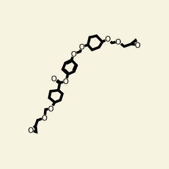 O=C(Oc1ccc(OCOC2CCC(OCOCC3CO3)CC2)cc1)C1CCC(OCOCC2CO2)CC1